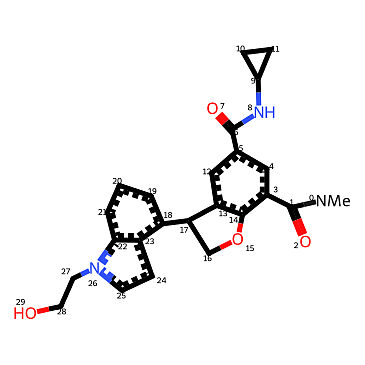 CNC(=O)c1cc(C(=O)NC2CC2)cc2c1OCC2c1cccc2c1ccn2CCO